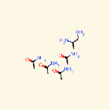 CC(N)=O.CC(N)=O.CC(N)=O.CC(N)=O.CC(N)CN